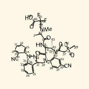 CN[C@@H](C)C(=O)N[C@@H]1C(=O)N(Cc2nn(-c3ccccc3C#N)c3ccccc23)c2ccc(C#N)cc2N(C(=O)CS(C)(=O)=O)[C@H]1C.O=C(O)C(F)(F)F